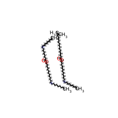 CCCCCCCC/C=C\CCCCCCCCCCCCOC(=O)CCCCCCC/C=C\CCCCCCCC.CCCCCCCC/C=C\CCCCCCCCCCCCOC(=O)CCCCCCCCCCCCCCC(C)C